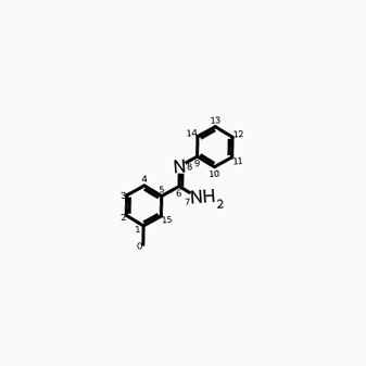 Cc1cccc(/C(N)=N/c2ccccc2)c1